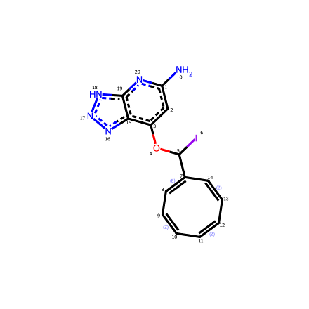 Nc1cc(OC(I)C2=C/C=C\C=C/C=C\2)c2nn[nH]c2n1